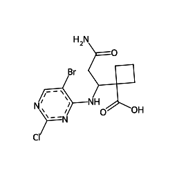 NC(=O)CC(Nc1nc(Cl)ncc1Br)C1(C(=O)O)CCC1